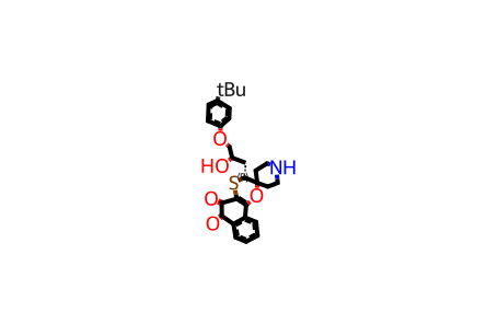 CC(C)(C)c1ccc(OCC(O)C[C@H]2SC3=C(OC24CCNCC4)c2ccccc2C(=O)C3=O)cc1